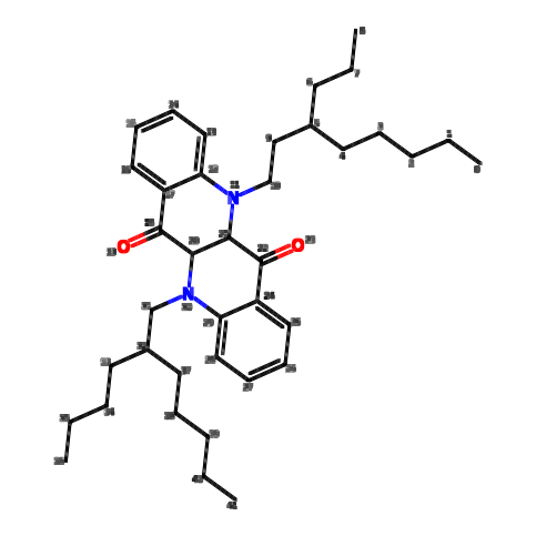 CCCCCC(CCC)CCN1c2ccccc2C(=O)C2C1C(=O)c1ccccc1N2CC(CCCC)CCCCC